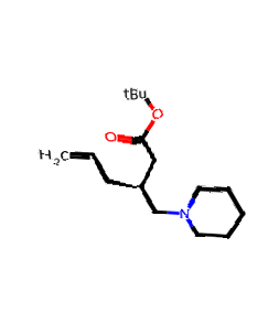 C=CC[C@@H](CC(=O)OC(C)(C)C)CN1CCCCC1